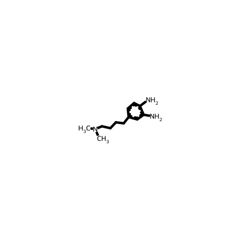 CN(C)CCCCc1ccc(N)c(N)c1